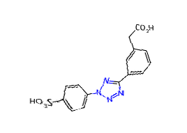 O=C(O)Cc1cccc(-c2nnn(-c3ccc(S(=O)(=O)O)cc3)n2)c1